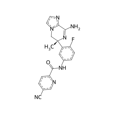 C[C@@]1(c2cc(NC(=O)c3ccc(C#N)cn3)ccc2F)Cn2ccnc2C(N)=N1